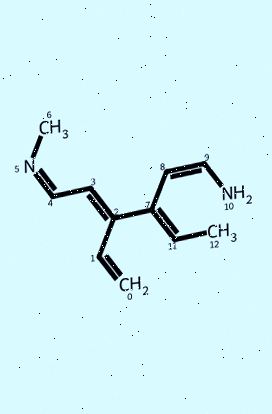 C=CC(=C\C=N/C)/C(/C=C\N)=C/C